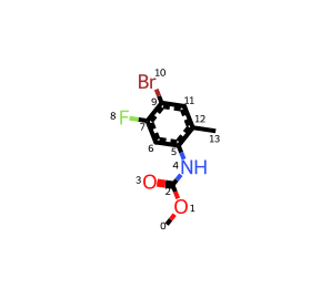 COC(=O)Nc1cc(F)c(Br)cc1C